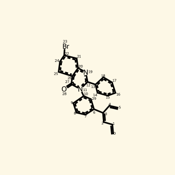 C=C/C=C(\C=C)c1cccc(-n2c(-c3ccccc3)nc3cc(Br)ccc3c2=O)c1